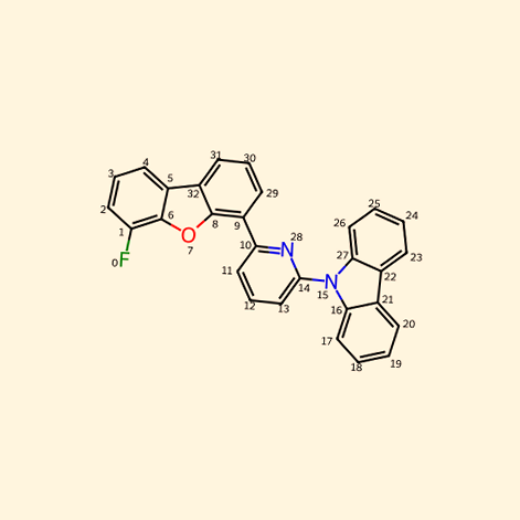 Fc1cccc2c1oc1c(-c3cccc(-n4c5ccccc5c5ccccc54)n3)cccc12